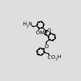 COc1c(CN)cccc1-c1cc2c(COc3ccccc3CC(=O)O)cccc2o1